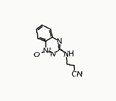 N#CCCNc1nc2ccccc2[n+]([O-])n1